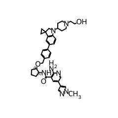 Cn1cc(-c2cnc(N)c(C(=O)N[C@H]3CCC[C@@H]3OCc3ccc(-c4ccc5c(c4)C4(CC4)CN5C4CCN(CCO)CC4)cc3)c2)cn1